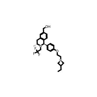 CCC1CN(CCOc2ccc([C@@H]3c4ccc(CO)cc4C[C@@H](C)N3CC(F)(F)F)cc2)C1